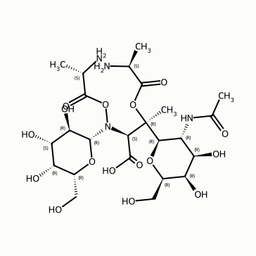 CC(=O)N[C@@H]1[C@@H](O)[C@@H](O)[C@@H](CO)O[C@H]1[C@](C)(OC(=O)[C@H](C)N)[C@@H](C(=O)O)N(OC(=O)[C@H](C)N)[C@@H]1O[C@H](CO)[C@H](O)[C@H](O)[C@H]1O